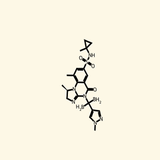 BC(B)(c1cnn(C)c1)N1C(=O)c2cc(S(=O)(=O)NC3(C)CC3)cc(C)c2N2C1=NC[C@H]2C